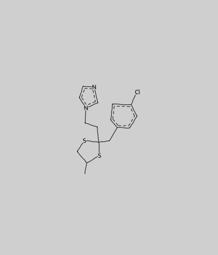 CC1CSC(CCn2ccnc2)(Cc2ccc(Cl)cc2)S1